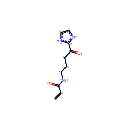 C=CC(=O)NCCCC(=O)c1ncc[nH]1